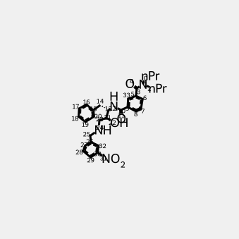 CCCN(CCC)C(=O)c1cccc(C(=O)N[C@@H](Cc2ccccc2)C(O)CNCc2cccc([N+](=O)[O-])c2)c1